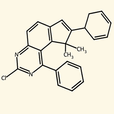 CC1(C)C(C2C=CC=CC2)=Cc2ccc3nc(Cl)nc(-c4ccccc4)c3c21